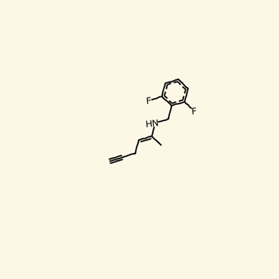 C#CC/C=C(\C)NCc1c(F)cccc1F